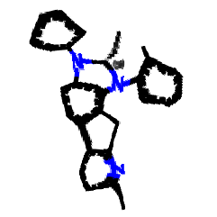 Cc1ccc2c(n1)Cc1c-2ccc2c1N(c1ccccc1C)[C@@H](C)N2c1ccccc1